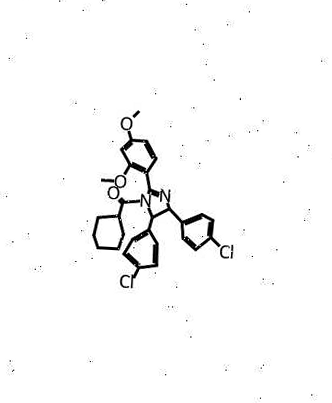 COc1ccc(C2=NC(c3ccc(Cl)cc3)C(c3ccc(Cl)cc3)N2C(=O)C2CCCCC2)c(OC)c1